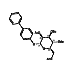 CC(=O)OC[C@H]1O[C@H](Oc2ccc(-c3ccccc3)cc2)[C@@H](OC(C)=O)[C@@H](OC(C)=O)[C@@H]1OC(C)=O